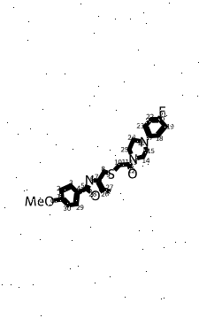 COc1ccc(-c2nc(CSCC(=O)N3CCN(c4ccc(F)cc4)CC3)c(C)o2)cc1